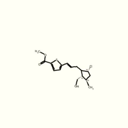 COC(=O)c1ccc(C=CCC2[C@H](Cl)C[C@@H](C)[C@@H]2CO)s1